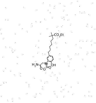 CCOC(=O)C(C)(C)CCCCCCc1ccc(O)c(N(CC(N)=O)[SH](=O)=O)c1